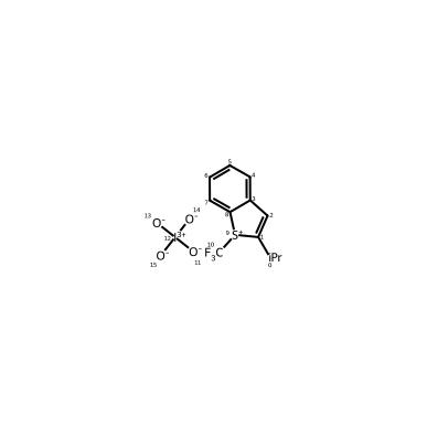 CC(C)c1cc2ccccc2[s+]1C(F)(F)F.[O-][I+3]([O-])([O-])[O-]